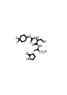 CC(C)CC(NC(=O)OC1CCC(F)(F)CC1)C(=O)NC(C[C@@H]1CCNC1=O)C(=O)O